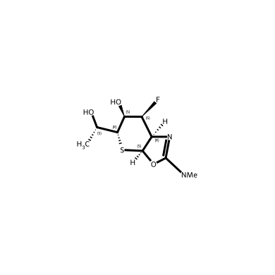 CNC1=N[C@@H]2[C@H](F)[C@H](O)[C@@H]([C@H](C)O)S[C@@H]2O1